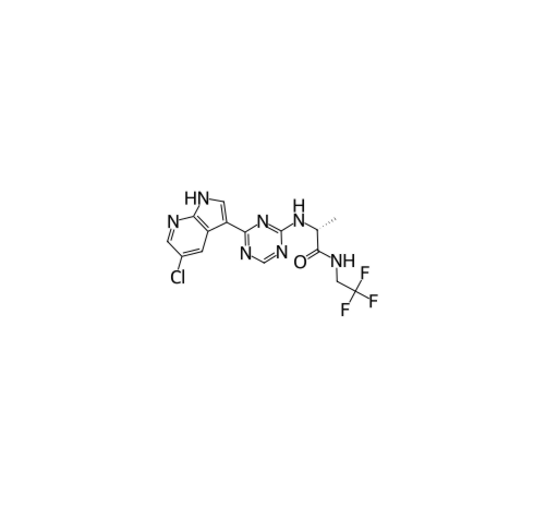 C[C@@H](Nc1ncnc(-c2c[nH]c3ncc(Cl)cc23)n1)C(=O)NCC(F)(F)F